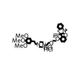 COc1cc(CCN2CCN(CCOCCOc3ccccc3C3(C(C)C)Sc4ccccc4N(C)C3=O)CC2)cc(OC)c1OC.Cl.Cl